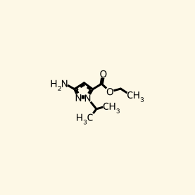 CCOC(=O)c1cc(N)nn1C(C)C